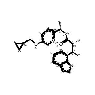 C[C@@H](NC(=O)[C@H](C)[C@@H](C)c1cccc2cc[nH]c12)c1ccc(OCC2CC2)cn1